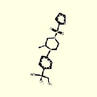 C[C@H]1CN(S(=O)(=O)c2cccs2)CCN1c1ccc([C@@](O)(CO)C(F)(F)F)cc1